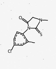 Cc1cc(Cl)ccc1N1C(=O)CN(C)C1=S